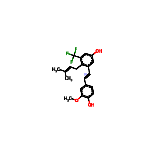 COc1cc(/C=C/c2cc(O)cc(C(F)(F)F)c2CC=C(C)C)ccc1O